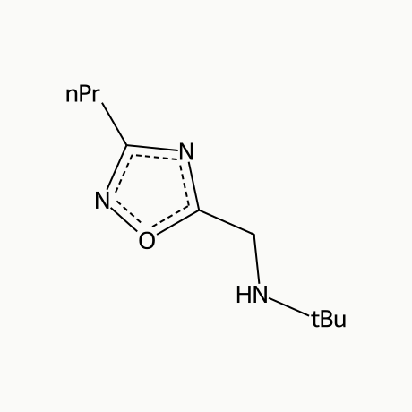 CCCc1noc(CNC(C)(C)C)n1